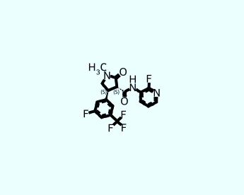 CN1C[C@H](c2cc(F)cc(C(F)(F)F)c2)[C@@H](C(=O)Nc2cccnc2F)C1=O